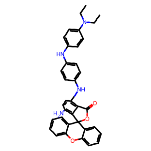 CCN(CC)c1ccc(Nc2ccc(Nc3ccc(N)c4c3C(=O)OC43c4ccccc4Oc4ccccc43)cc2)cc1